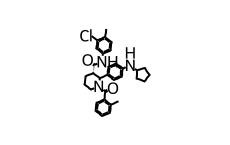 Cc1ccc(NC(=O)[C@H]2CCCN(C(=O)c3ccccc3C)C2c2ccc(NC3CCCC3)cc2)cc1Cl